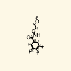 COCCONC(=O)c1cc(F)c(F)c(F)c1